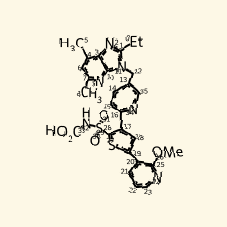 CCc1nc2c(C)cc(C)nc2n1Cc1ccc(-c2cc(-c3cccnc3OC)sc2S(=O)(=O)NC(=O)O)nc1